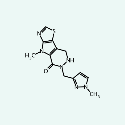 Cn1ccc(CN2NCc3c(n(C)c4ncsc34)C2=O)n1